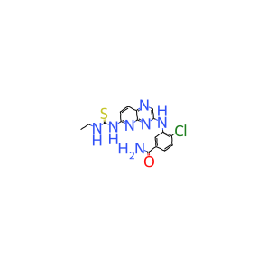 CCNC(=S)Nc1ccc2ncc(Nc3cc(C(N)=O)ccc3Cl)nc2n1